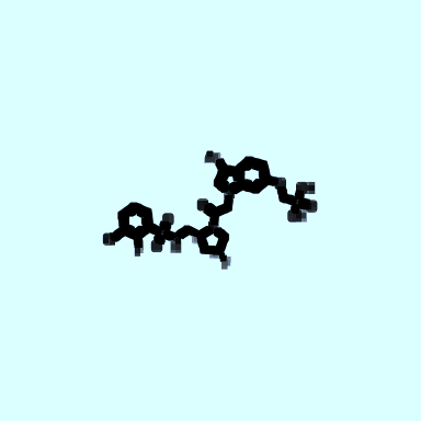 CC(=O)c1cn(CC(=O)N2C[C@H](F)C[C@H]2CNS(=O)(=O)c2cccc(Cl)c2F)c2cc(OCP(=O)(O)O)ccc12